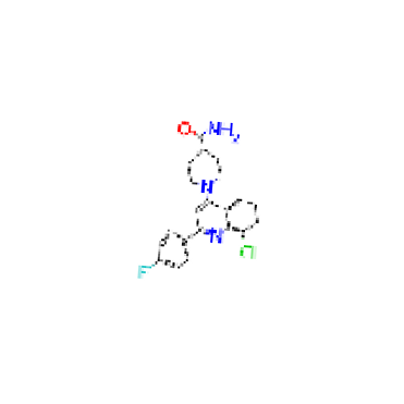 NC(=O)C1CCN(c2cc(-c3ccc(F)cc3)nc3c(Cl)cccc23)CC1